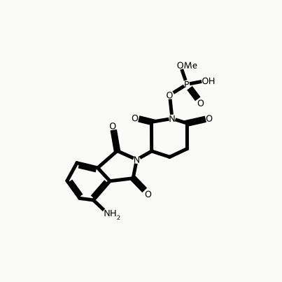 COP(=O)(O)ON1C(=O)CCC(N2C(=O)c3cccc(N)c3C2=O)C1=O